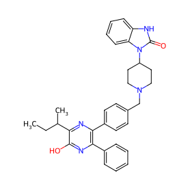 CCC(C)c1nc(-c2ccc(CN3CCC(n4c(=O)[nH]c5ccccc54)CC3)cc2)c(-c2ccccc2)nc1O